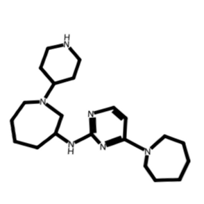 c1cc(N2CCCCCC2)nc(NC2CCCCN(C3CCNCC3)C2)n1